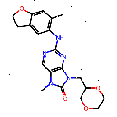 Cc1cc2c(cc1Nc1ncc3c(n1)n(CC1COCCO1)c(=O)n3C)CCO2